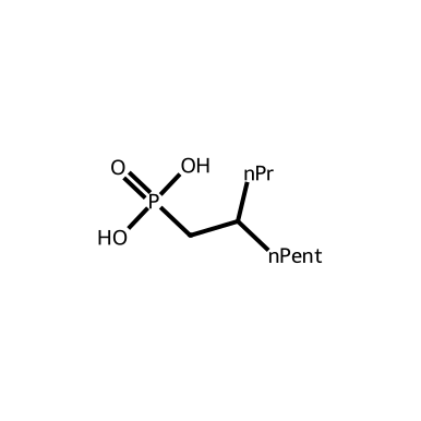 CCCCCC(CCC)CP(=O)(O)O